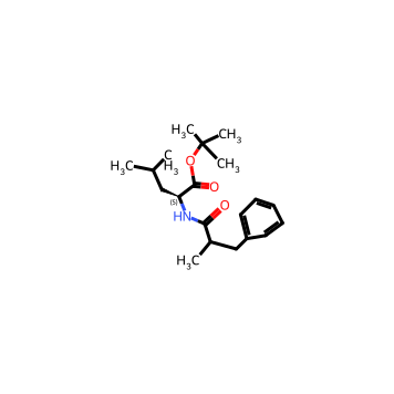 CC(C)C[C@H](NC(=O)C(C)Cc1ccccc1)C(=O)OC(C)(C)C